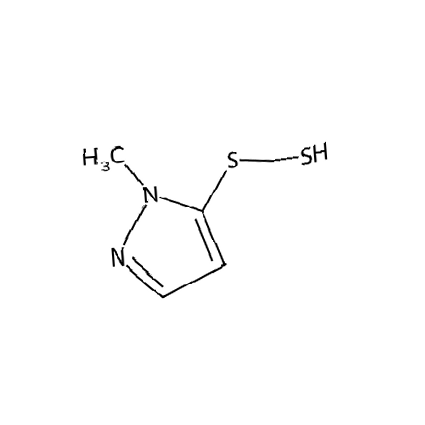 Cn1nccc1SS